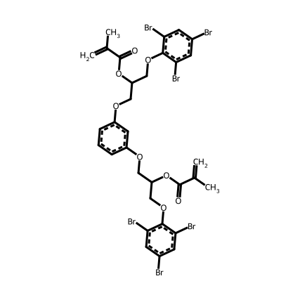 C=C(C)C(=O)OC(COc1cccc(OCC(COc2c(Br)cc(Br)cc2Br)OC(=O)C(=C)C)c1)COc1c(Br)cc(Br)cc1Br